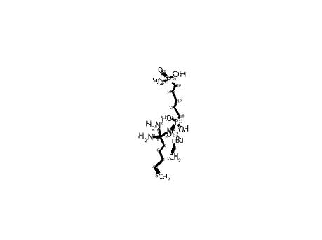 C=CCCCC.C=CCCCC(N)(N)N.O=P(O)(O)CCCCCP(=O)(O)O